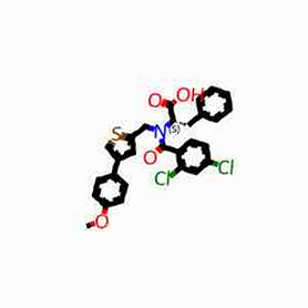 COc1ccc(-c2csc(CN(C(=O)c3ccc(Cl)cc3Cl)[C@@H](Cc3ccccc3)C(=O)O)c2)cc1